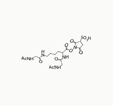 CC(=O)NCC(=O)NCCCCC(NC(=O)CNC(C)=O)C(=O)ON1C(=O)CC(S(=O)(=O)O)C1=O